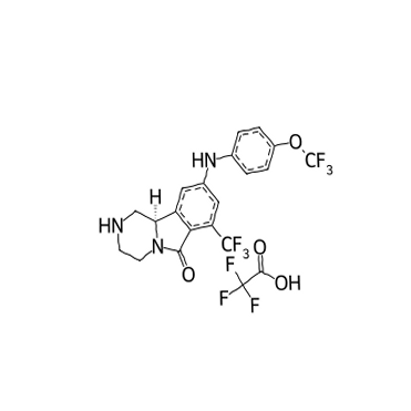 O=C(O)C(F)(F)F.O=C1c2c(cc(Nc3ccc(OC(F)(F)F)cc3)cc2C(F)(F)F)[C@@H]2CNCCN12